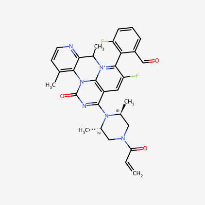 C=CC(=O)N1C[C@H](C)N(c2nc(=O)n3c4c2cc(F)c(-c2c(F)cccc2C=O)[n+]4C(C)c2nccc(C)c2-3)[C@@H](C)C1